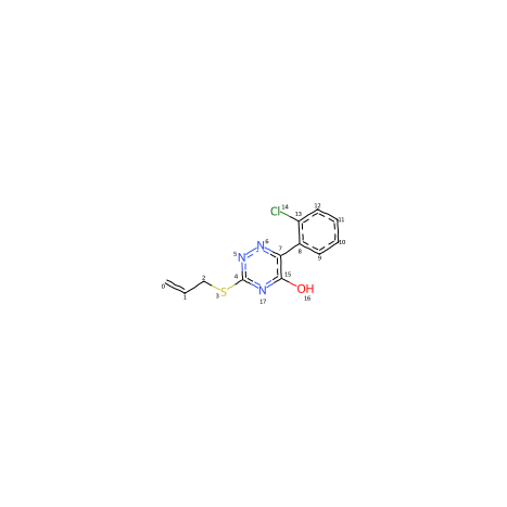 C=CCSc1nnc(-c2ccccc2Cl)c(O)n1